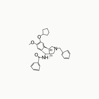 COc1ccc([C@H]2CN(Cc3ccccc3)C[C@@]2(C)C(C)NC(=O)c2ccccc2)cc1OC1CCCC1